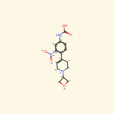 O=C(O)Nc1ccc(C2=CCN(C3COC3)CC2)c([N+](=O)[O-])c1